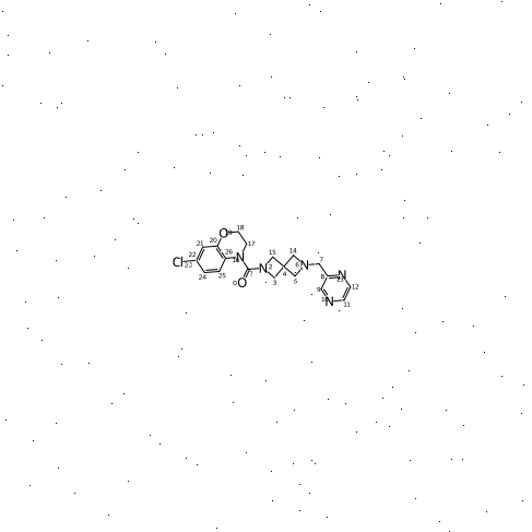 O=C(N1CC2(CN(Cc3cnccn3)C2)C1)N1CCOc2cc(Cl)ccc21